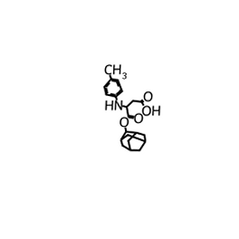 Cc1ccc(NC(CC(=O)O)C(=O)OC2C3CC4CC(C3)CC2C4)cc1